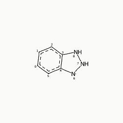 c1ccc2c(c1)[N]NN2